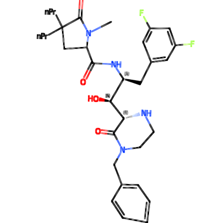 CCCC1(CCC)CC(C(=O)N[C@@H](Cc2cc(F)cc(F)c2)[C@H](O)[C@@H]2NCCN(Cc3ccccc3)C2=O)N(C)C1=O